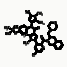 Cc1c(N(C(=O)c2cc(-c3cc(Cl)cnc3C(=O)N3Cc4ccccc4CC3CN3CCOCC3)n(C)c2C)c2ccc(O[Si](C)(C)C(C)(C)C)cc2)cc(C#N)n1C